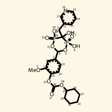 COc1cc(C2OP(=O)(O)C(O)(Cc3cccnc3)P(=O)(O)O2)ccc1OC(=O)OC1CCCCC1